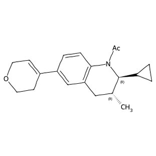 CC(=O)N1c2ccc(C3=CCOCC3)cc2C[C@@H](C)[C@@H]1C1CC1